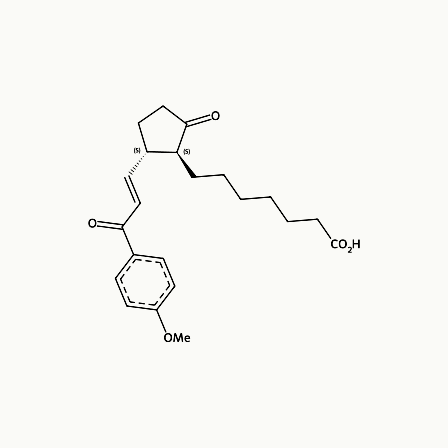 COc1ccc(C(=O)C=C[C@@H]2CCC(=O)[C@H]2CCCCCCC(=O)O)cc1